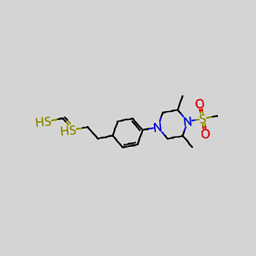 CC1CN(C2=CCC(CC[SH]=CS)C=C2)CC(C)N1S(C)(=O)=O